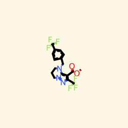 COC(=O)c1c(C(F)(F)F)nn2c1N(Cc1ccc(C(F)(F)F)cc1)CCC2